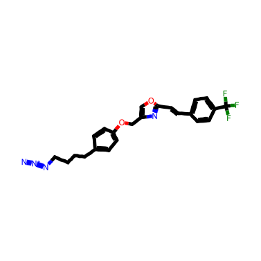 [N-]=[N+]=NCCCCc1ccc(OCc2coc(C=Cc3ccc(C(F)(F)F)cc3)n2)cc1